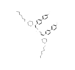 CCCCCCC[C@H]1CC[C@H](C(=CCOCC=C(c2ccc(-c3ccc(F)cc3)cc2)[C@H]2CC[C@H](CCCCCCC)CC2)c2ccc(-c3ccc(F)cc3)cc2)CC1